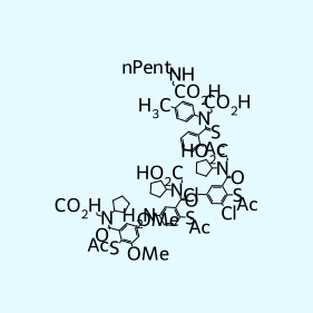 CC(=O)Sc1c(Cl)cc(Cl)cc1C(=O)N(CC(=O)O)C1CCCC1.CC(=O)Sc1ccc(N)cc1C(=O)N(CC(=O)O)C1CCCC1.CC(=O)c1ccccc1C(=S)N(CC(=O)O)c1ccc(C)cc1.CCCCCNCC(=O)O.COc1cc(OC)c(SC(C)=O)c(C(=O)N(CC(=O)O)C2CCCC2)c1